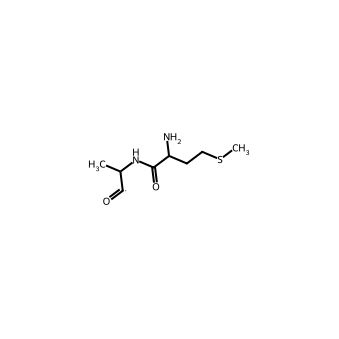 CSCCC(N)C(=O)NC(C)[C]=O